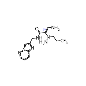 N/C=C(/C(=O)NCc1cn2ncccc2n1)N(N)CCC(F)(F)F